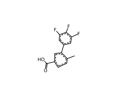 Cc1ccc(C(=O)O)cc1-c1cc(F)c(F)c(F)c1